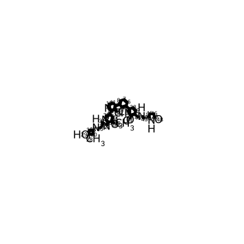 COc1nc(-c2cccc(-c3ccnc(-c4cc(OC)c5nc(CN[C@H]6C[C@@](C)(O)C6)cn5c4)c3Cl)c2Cl)ccc1CNC[C@@H]1CCC(=O)N1